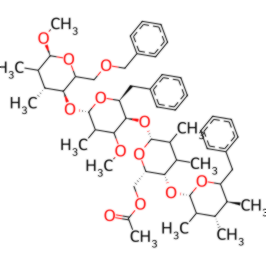 COC1C(C)[C@H](O[C@@H]2C(COCc3ccccc3)O[C@H](OC)C(C)[C@H]2C)O[C@@H](Cc2ccccc2)[C@H]1O[C@H]1O[C@@H](COC(C)=O)[C@@H](O[C@@H]2OC(Cc3ccccc3)[C@@H](C)[C@H](C)C2C)C(C)C1C